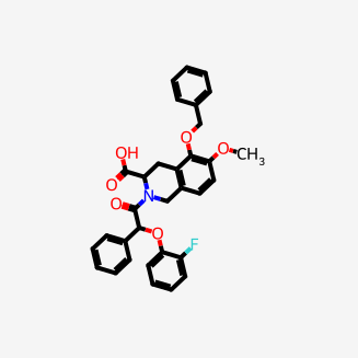 COc1ccc2c(c1OCc1ccccc1)CC(C(=O)O)N(C(=O)C(Oc1ccccc1F)c1ccccc1)C2